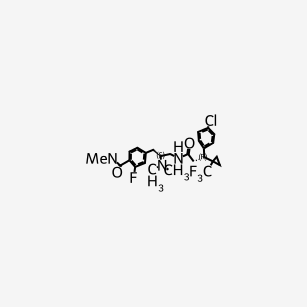 CNC(=O)c1ccc(C[C@@H](CNC(=O)C[C@H](c2ccc(Cl)cc2)C2(C(F)(F)F)CC2)N(C)C)cc1F